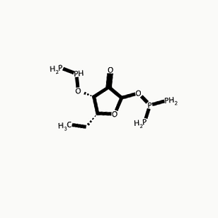 CC[C@H]1OC(OP(P)P)C(=O)[C@H]1OPP